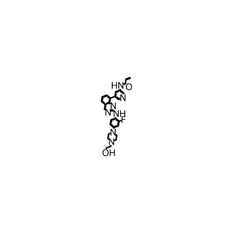 C=CC(=O)Nc1cncc(-c2cccc3cnc(Nc4ccc(N5CCN(CCO)CC5)cc4F)nc23)c1